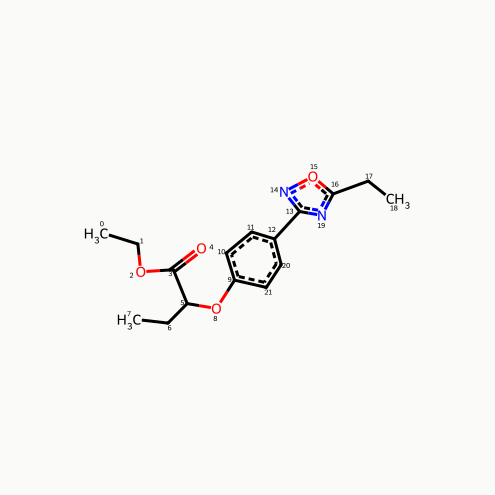 CCOC(=O)C(CC)Oc1ccc(-c2noc(CC)n2)cc1